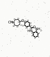 Nc1ccccc1NC(=O)c1ccc(OC2CCCN(Cl)CC2)cc1